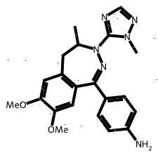 COc1cc2c(cc1OC)C(c1ccc(N)cc1)=NN(c1ncnn1C)C(C)C2